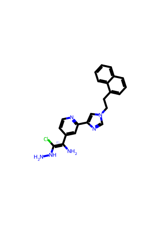 NN/C(Cl)=C(\N)c1ccnc(-c2cn(CCc3cccc4ccccc34)cn2)c1